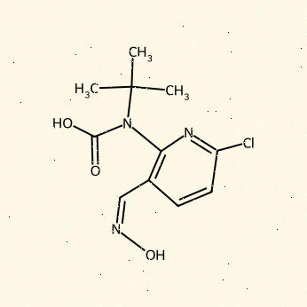 CC(C)(C)N(C(=O)O)c1nc(Cl)ccc1/C=N\O